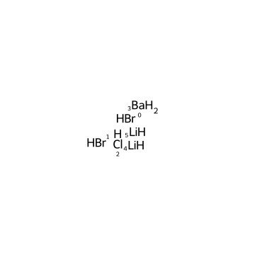 Br.Br.Cl.[BaH2].[LiH].[LiH]